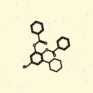 CC(C)c1cc(OC(=O)c2ccccc2)c(OC(=O)c2ccccc2)c(C2CCCCC2)c1